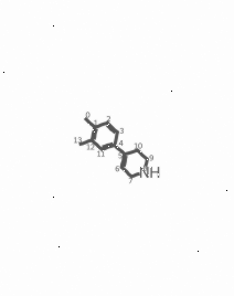 Cc1ccc(C2=CCNCC2)cc1C